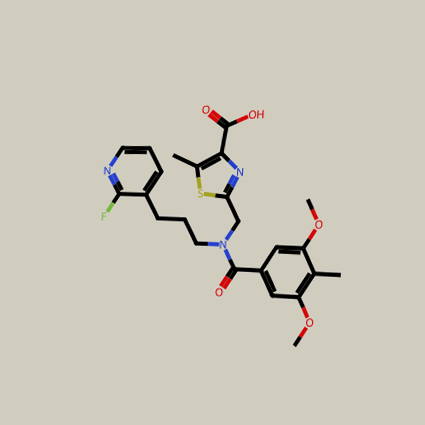 COc1cc(C(=O)N(CCCc2cccnc2F)Cc2nc(C(=O)O)c(C)s2)cc(OC)c1C